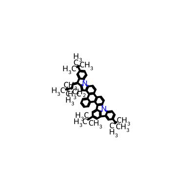 C=C(/C=c1/c2cc(C(C)(C)C)ccc2n2c1c(C)c1c3c4ccccc4c4c(ccc5c4c4cc(C(C)(C)C)cc6c7cc(C(C)(C)C)ccc7n5c64)c3ccc12)C(C)(C)C